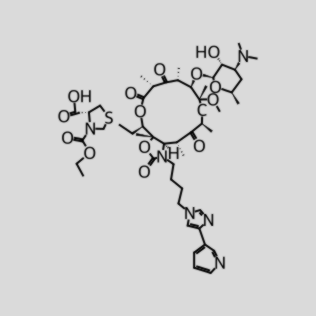 CCOC(=O)N1CSC[C@H]1C(=O)O.CC[C@H]1OC(=O)[C@H](C)C(=O)[C@H](C)[C@@H](O[C@@H]2O[C@H](C)C[C@H](N(C)C)[C@H]2O)[C@](C)(OC)C[C@@H](C)C(=O)[C@H](C)[C@H]2N(CCCCn3cnc(-c4cccnc4)c3)C(=O)O[C@]12C